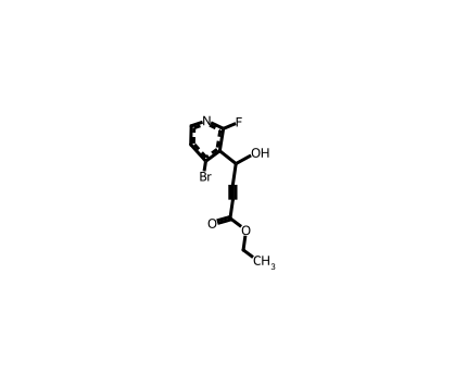 CCOC(=O)C#CC(O)c1c(Br)ccnc1F